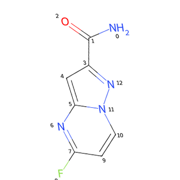 NC(=O)c1cc2nc(F)ccn2n1